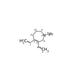 C=CC1=C(C=C)CN(C(C)C)CCC1